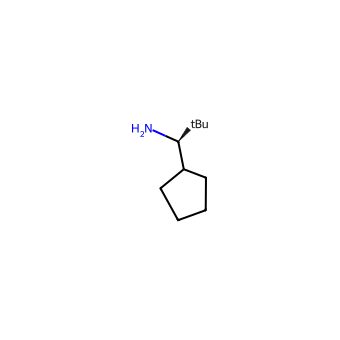 CC(C)(C)[C@H](N)C1CCCC1